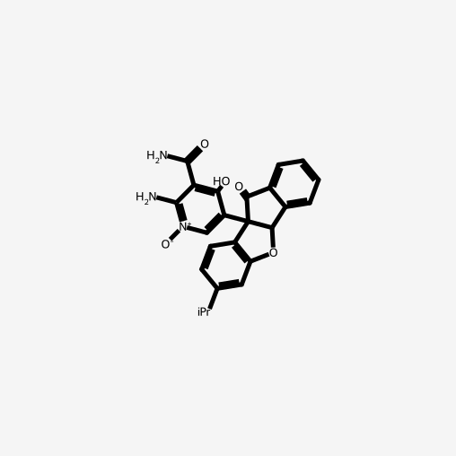 CC(C)c1ccc2c(c1)OC1c3ccccc3C(=O)C21c1c[n+]([O-])c(N)c(C(N)=O)c1O